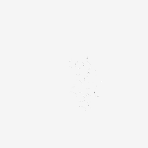 Oc1c(C[C@H]2CCCC3Cc4cc(Cl)cc(P(c5ccccc5)c5ccccc5)c4OC32)cc(Cl)cc1P(c1ccccc1)c1ccccc1